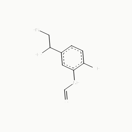 [NH]CC(O)c1ccc(O)c(NC=O)c1